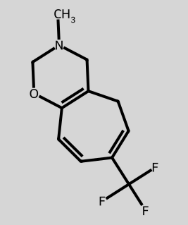 CN1COC2=C(CC=C(C(F)(F)F)C=C2)C1